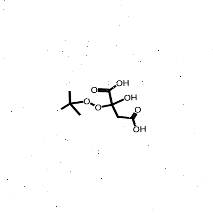 CC(C)(C)OOC(O)(CC(=O)O)C(=O)O